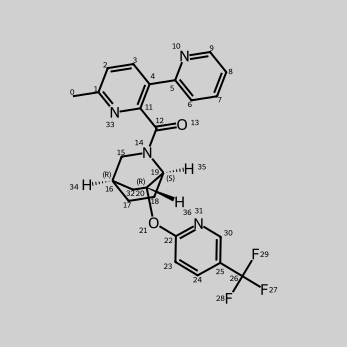 Cc1ccc(-c2ccccn2)c(C(=O)N2C[C@@H]3CC[C@H]2[C@H](Oc2ccc(C(F)(F)F)cn2)C3)n1